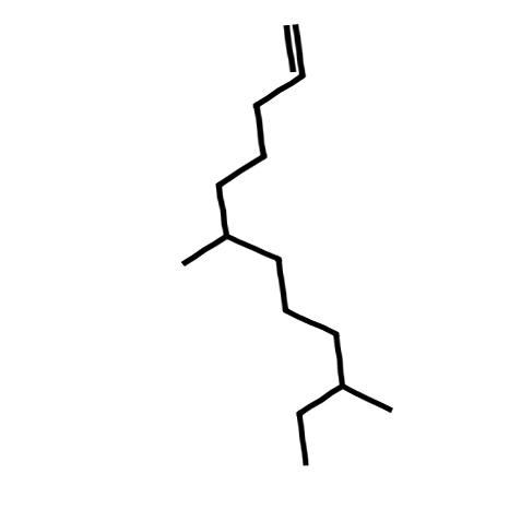 C=CCCCC(C)CCCC(C)CC